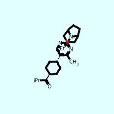 CCN1CC2CCC(C1)N2c1ncc([C@H]2CC[C@H](C(=O)C(C)C)CC2)c(C)n1